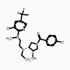 CCN(CCN(C)c1ncc(C(F)(F)F)cc1Cl)[C@@H]1CN(C(=O)c2ccc(Cl)cc2)C[C@H]1O